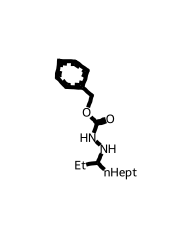 CCCCCCCC(CC)NNC(=O)OCc1ccccc1